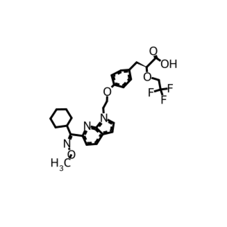 CO/N=C(\c1ccc2ccn(CCOc3ccc(C[C@H](OCC(F)(F)F)C(=O)O)cc3)c2n1)C1CCCCC1